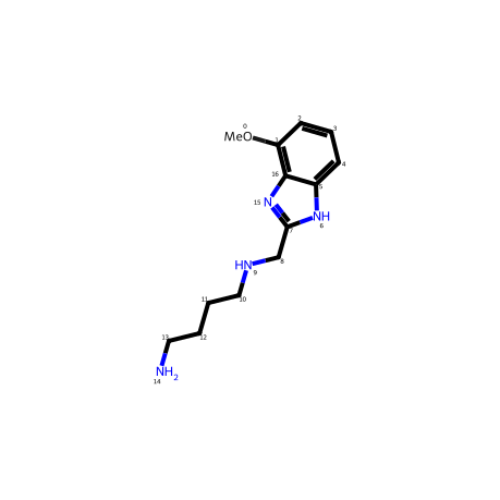 COc1cccc2[nH]c(CNCCCCN)nc12